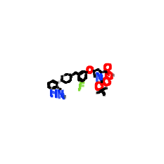 CNCc1ccccc1[C@H]1CC[C@H](Cc2cc(F)cc(O[C@H]3C[C@@H](C(=O)OC)N(C(=O)OC(C)(C)C)C3)c2)CC1